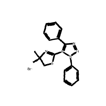 CC1(C)CSC([n+]2c(-c3ccccc3)nnn2-c2ccccc2)=N1.[Br-]